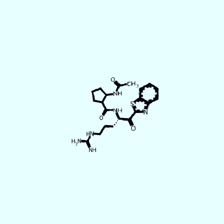 CC(=O)NC1CCCC1C(=O)N[C@@H](CCCNC(=N)N)C(=O)c1nc2ccccc2s1